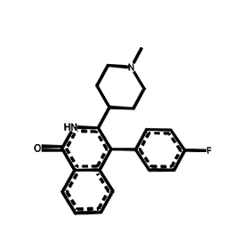 CN1CCC(c2[nH]c(=O)c3ccccc3c2-c2ccc(F)cc2)CC1